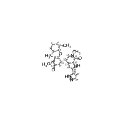 Cc1cccc(C)c1Oc1cn(C)c(=O)cc1-c1cn(C)c(=O)c2[nH]c(-c3ccn[nH]3)cc12